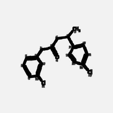 CC(CC(=O)Cc1cccc(Cl)c1)c1ccc(Cl)cc1